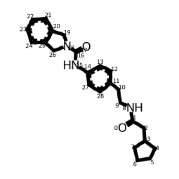 O=C(CC1CCCC1)NCCc1ccc(NC(=O)N2Cc3ccccc3C2)cc1